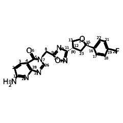 Nc1ccc2c(=O)n(Cc3nc([C@@H]4CO[C@@H](c5ccc(F)cc5)C4)no3)cnc2n1